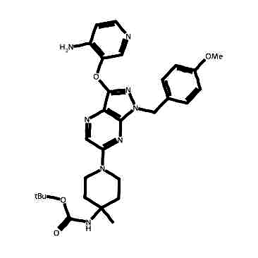 COc1ccc(Cn2nc(Oc3cnccc3N)c3ncc(N4CCC(C)(NC(=O)OC(C)(C)C)CC4)nc32)cc1